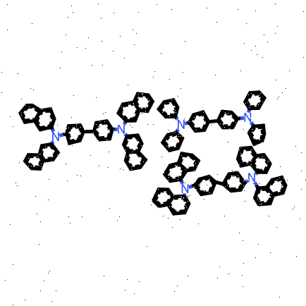 c1ccc(N(c2ccccc2)c2ccc(-c3ccc(N(c4ccccc4)c4ccccc4)cc3)cc2)cc1.c1ccc2c(N(c3ccc(-c4ccc(N(c5cccc6ccccc56)c5cccc6ccccc56)cc4)cc3)c3cccc4ccccc34)cccc2c1.c1ccc2cc(N(c3ccc(-c4ccc(N(c5ccc6ccccc6c5)c5ccc6ccccc6c5)cc4)cc3)c3ccc4ccccc4c3)ccc2c1